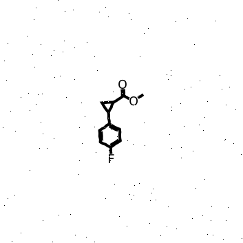 COC(=O)C1CC1c1ccc(F)cc1